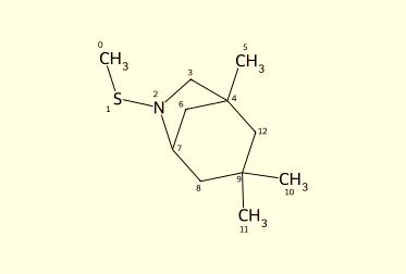 CSN1CC2(C)CC1CC(C)(C)C2